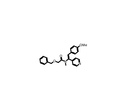 COc1ccc(C=C(c2ccncc2)N(C)C(=O)COCc2ccccc2)cc1